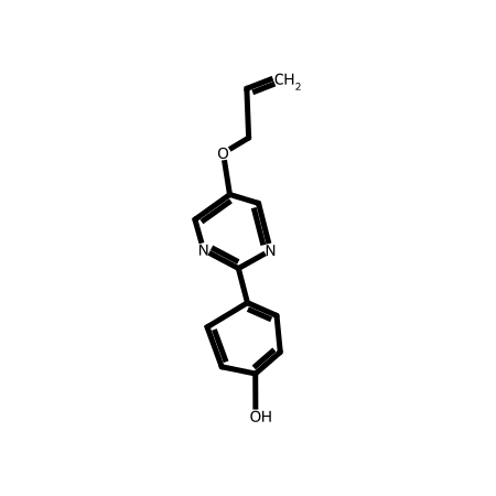 C=CCOc1cnc(-c2ccc(O)cc2)nc1